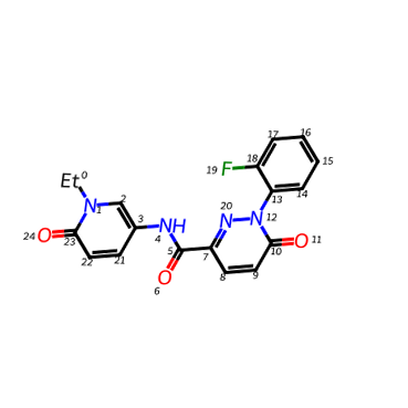 CCn1cc(NC(=O)c2ccc(=O)n(-c3ccccc3F)n2)ccc1=O